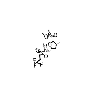 CON(C)C(=O)[C@H]1O[C@@H](CNS(=O)(=O)CCC(F)(F)F)C[C@H]1C